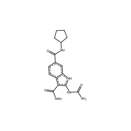 CNC(=O)c1c(NC(N)=O)[nH]c2cc(C(=O)NC3CCCC3)ccc12